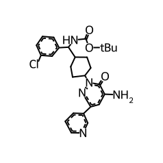 CC(C)(C)OC(=O)NC(c1cccc(Cl)c1)C1CCC(n2nc(-c3cccnc3)cc(N)c2=O)CC1